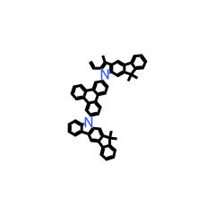 C=Cc1c(C)c2cc3c(cc2n1-c1ccc2c4ccc(-n5c6ccccc6c6cc7c(cc65)C(C)(C)c5ccccc5-7)cc4c4ccccc4c2c1)C(C)(C)c1ccccc1-3